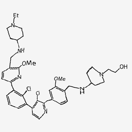 CCN1CCC(NCc2ccc(-c3cccc(-c4ccnc(-c5ccc(CNC6CCN(CCO)CC6)c(OC)c5)c4Cl)c3Cl)nc2OC)CC1